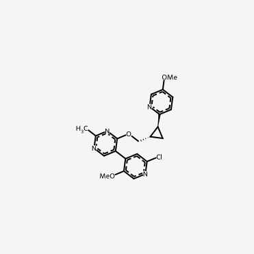 COc1ccc([C@H]2C[C@@H]2COc2nc(C)ncc2-c2cc(Cl)ncc2OC)nc1